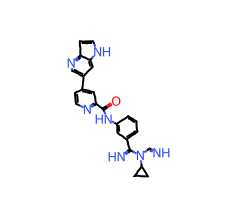 N=CN(C(=N)c1cccc(NC(=O)c2cc(-c3cnc4cc[nH]c4c3)ccn2)c1)C1CC1